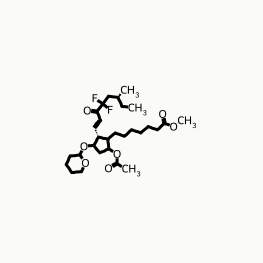 CC[C@H](C)CC(F)(F)C(=O)/C=C/[C@H]1C(OC2CCCCO2)CC(OC(C)=O)C1CCCCCCC(=O)OC